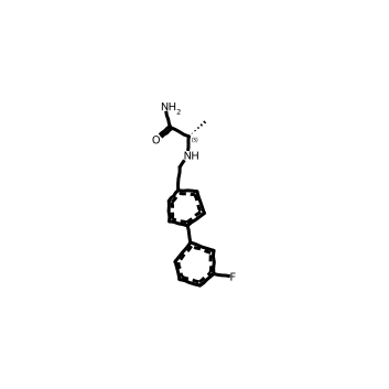 C[C@H](NCc1ccc(-c2cccc(F)c2)cc1)C(N)=O